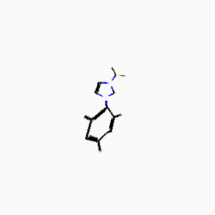 Cc1cc(C)c(N2C=CN([C@H](C(=O)O)C(C)(C)C)C2)c(C)c1